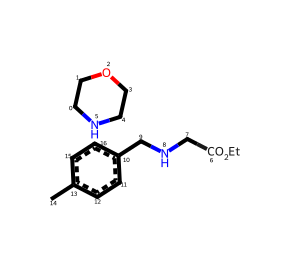 C1COCCN1.CCOC(=O)CNCc1ccc(C)cc1